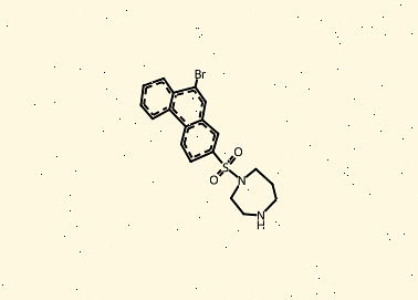 O=S(=O)(c1ccc2c(c1)cc(Br)c1ccccc12)N1CCCNCC1